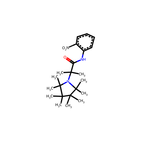 CC(C)(C(=O)Nc1ccccc1[N+](=O)[O-])N1C(C)(C)C(C)(C)C(C)(C)C1(C)C